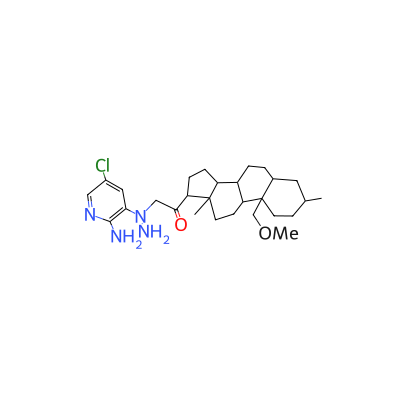 COCC12CCC(C)CC1CCC1C3CCC(C(=O)CN(N)c4cc(Cl)cnc4N)C3(C)CCC12